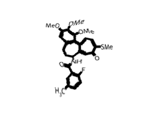 COc1cc2c(c(OC)c1OC)-c1ccc(SC)c(=O)cc1[C@@H](NC(=O)c1cc(C)ccc1F)CC2